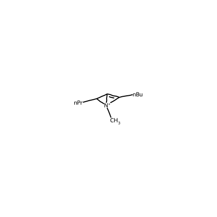 CCCCC1=C2C(CCC)[N+]12C